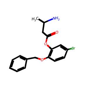 CC(N)CC(=O)Oc1cc(Br)ccc1OCc1ccccc1